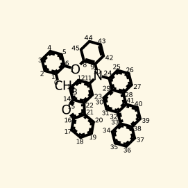 Cc1ccccc1OC1=C(N(c2ccc3oc4ccccc4c3c2)c2cccc3c2ccc2c4ccccc4ccc32)C=CCC1